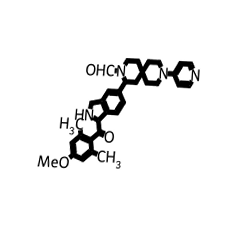 COc1cc(C)c(C(=O)C2NCc3cc(C4CC5(CCN(c6ccncc6)CC5)CCN4C=O)ccc32)c(C)c1